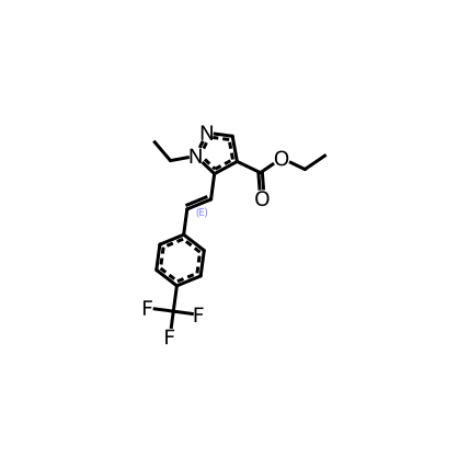 CCOC(=O)c1cnn(CC)c1/C=C/c1ccc(C(F)(F)F)cc1